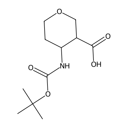 CC(C)(C)OC(=O)NC1CCOCC1C(=O)O